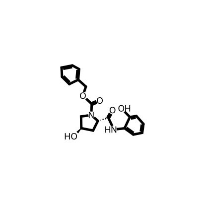 O=C(Nc1ccccc1O)[C@@H]1C[C@@H](O)CN1C(=O)OCc1ccccc1